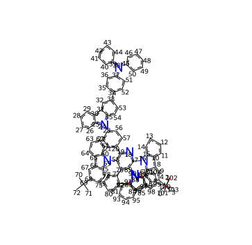 CC(C)(C)c1ccc2c(c1)c1ccccc1n2-c1nc(-c2ccc(-n3c4ccccc4c4cc(-c5ccc(N(c6ccccc6)c6ccccc6)cc5)ccc43)cc2)c(-n2c3ccccc3c3cc(C(C)(C)C)ccc32)c(-c2ccccc2-c2ccccn2)c1-n1c2ccccc2c2cc(C(C)(C)C)ccc21